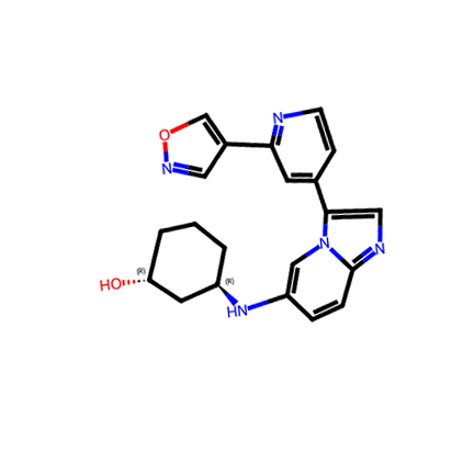 O[C@@H]1CCC[C@@H](Nc2ccc3ncc(-c4ccnc(-c5cnoc5)c4)n3c2)C1